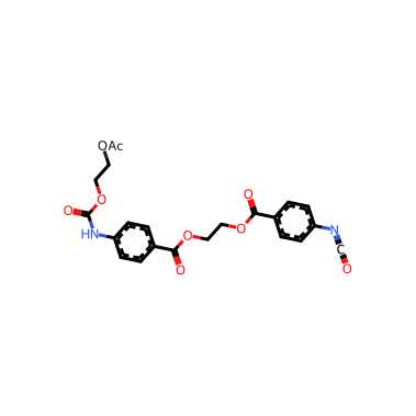 CC(=O)OCCOC(=O)Nc1ccc(C(=O)OCCOC(=O)c2ccc(N=C=O)cc2)cc1